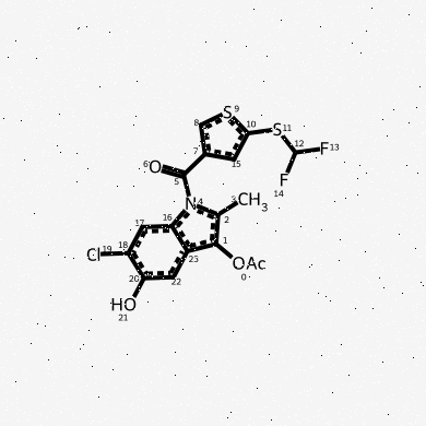 CC(=O)Oc1c(C)n(C(=O)c2csc(SC(F)F)c2)c2cc(Cl)c(O)cc12